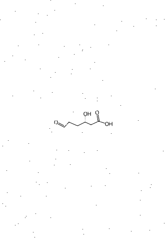 O=CCC[C@H](O)CC(=O)O